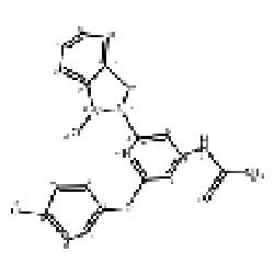 CC(=O)Nc1cc(Oc2ccc(Cl)cc2)nc(N2Cc3ccccc3[S+]2[O-])c1